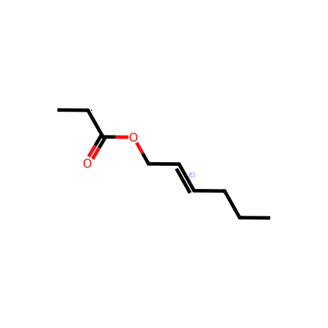 C[CH]C(=O)OC/C=C/CCC